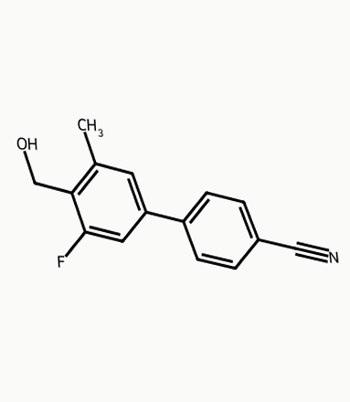 Cc1cc(-c2ccc(C#N)cc2)cc(F)c1CO